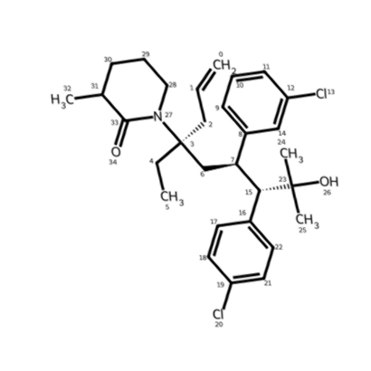 C=CC[C@@](CC)(C[C@@H](c1cccc(Cl)c1)[C@@H](c1ccc(Cl)cc1)C(C)(C)O)N1CCCC(C)C1=O